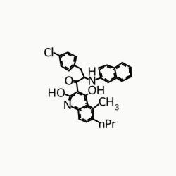 CCCc1ccc2nc(O)c(C(=O)C(Cc3ccc(Cl)cc3)Nc3ccc4ccccc4c3)c(O)c2c1C